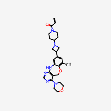 C=CC(=O)N1CCC(N2CC(c3cc(C#N)c4c(c3)Nc3ncnc(N5CCOCC5)c3CO4)C2)CC1